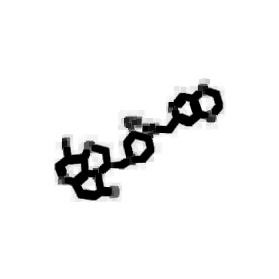 O=c1ccc2ncc(F)c3c2n1[C@H](CN1CC[C@@H](NCc2cc4c(cn2)OCCO4)[C@@H](O)C1)CO3